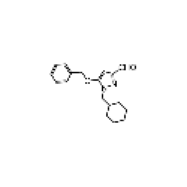 O=Cc1cc(OCc2ccccc2)n(CC2CCCCC2)n1